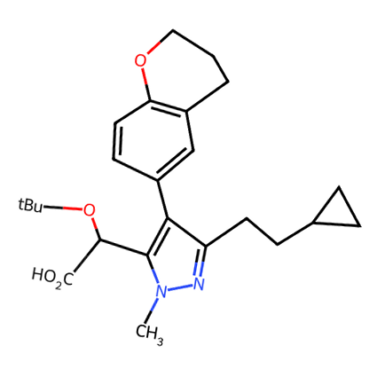 Cn1nc(CCC2CC2)c(-c2ccc3c(c2)CCCO3)c1C(OC(C)(C)C)C(=O)O